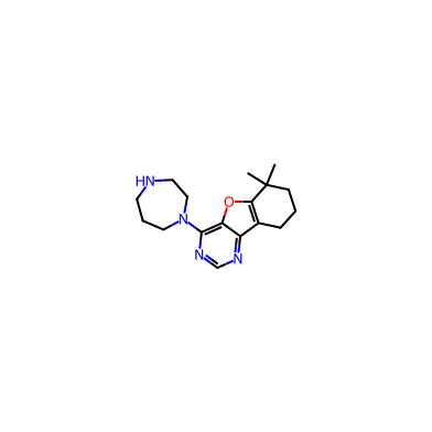 CC1(C)CCCc2c1oc1c(N3CCCNCC3)ncnc21